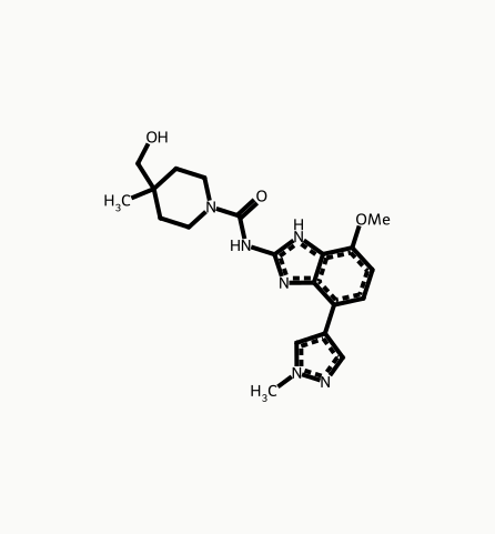 COc1ccc(-c2cnn(C)c2)c2nc(NC(=O)N3CCC(C)(CO)CC3)[nH]c12